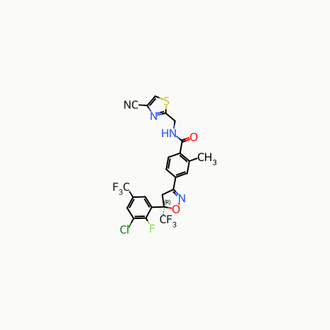 Cc1cc(C2=NO[C@](c3cc(C(F)(F)F)cc(Cl)c3F)(C(F)(F)F)C2)ccc1C(=O)NCc1nc(C#N)cs1